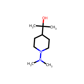 CN(C)N1CCC(C(C)(C)O)CC1